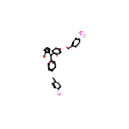 O=C1OC2(c3ccc(OCc4ccc([N+](=O)[O-])cc4)cc3Oc3cc(OCc4ccc([N+](=O)[O-])cc4)ccc32)c2ccccc21